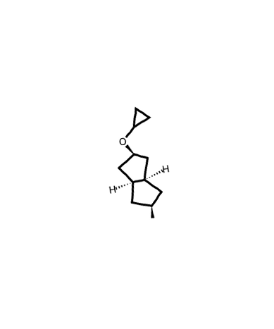 C[C@@H]1C[C@@H]2C[C@H](OC3CC3)C[C@@H]2C1